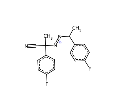 CC(/N=N/C(C)(C#N)c1ccc(F)cc1)c1ccc(F)cc1